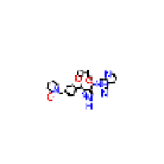 COCC(c1ccc(Cn2ccccc2=O)cc1)c1n[nH]cc1C(=O)NCc1ncccc1C#N